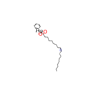 CCCCCCCC/C=C\CCCCCCCC(=O)[O][Hg][c]1ccccc1